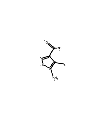 Cc1c(C(=O)O)csc1N